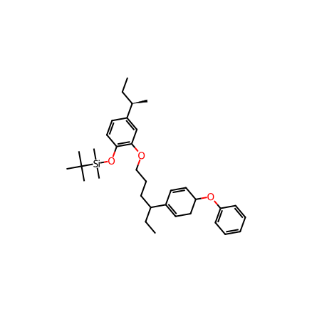 CCC(CCCOc1cc([C@H](C)CC)ccc1O[Si](C)(C)C(C)(C)C)C1=CCC(Oc2ccccc2)C=C1